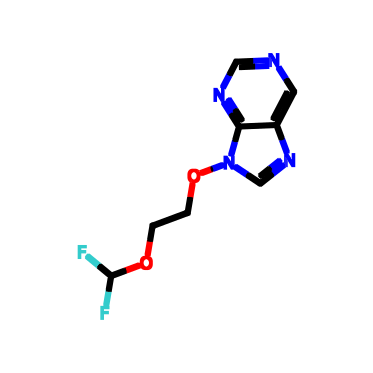 FC(F)OCCOn1cnc2cncnc21